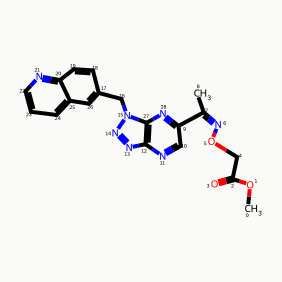 COC(=O)CO/N=C(/C)c1cnc2nnn(Cc3ccc4ncccc4c3)c2n1